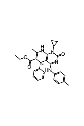 CCOC(=O)C1=C(C)Nc2c(c(Nc3ccc(C)cc3)nc(=O)n2C2CC2)[C@@H]1c1ccccc1